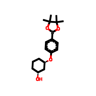 CC1(C)OB(c2ccc(O[C@H]3CCC[C@@H](O)C3)cc2)OC1(C)C